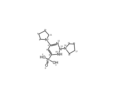 O=P(O)(O)C1=CC(N2CCCC2)=NN(N2CCCC2)N1